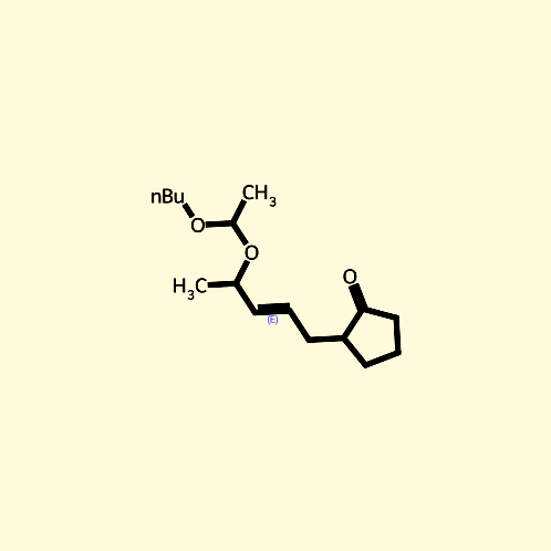 CCCCOC(C)OC(C)/C=C/CC1CCCC1=O